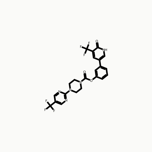 O=C(Oc1cccc(-c2c[nH]c(=O)c(C(F)(F)F)c2)c1)N1CCN(c2ncc(C(F)(F)F)cn2)CC1